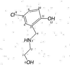 OCCNCc1cc(Cl)ccc1O